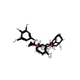 O=C(Nc1cc(F)c(F)c(F)c1)c1ccc(Cl)c(S(=O)(=O)C2C3CC[C@H]2C[C@@](O)(CNS(=O)(=O)C2CC2)C3)c1